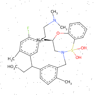 Cc1ccc(C(CC(=O)O)c2cc(CCN(C)C)c(F)cc2C)cc1CN1C[C@@H](C)Oc2ccccc2S1(O)O